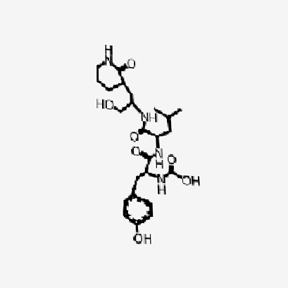 CC(C)CC(NC(=O)C(Cc1ccc(O)cc1)NC(=O)O)C(=O)NC(CO)CC1CCCNC1=O